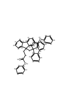 O=C(CCC1(CC2(CCC(=O)Oc3ccccc3)c3ccccc3-c3ccccc32)c2ccccc2-c2ccccc21)Oc1ccccc1